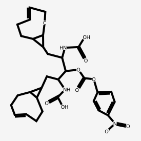 O=C(O)NC(CC1C2CC/C=C/CCC21)C(OC(=O)Oc1ccc([N+](=O)[O-])cc1)C(CC1C2CC/C=C/CCC21)NC(=O)O